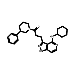 O=C(CCc1n[nH]c2ccnc(NC3CCCCC3)c12)N1CCCC(c2ccccc2)C1